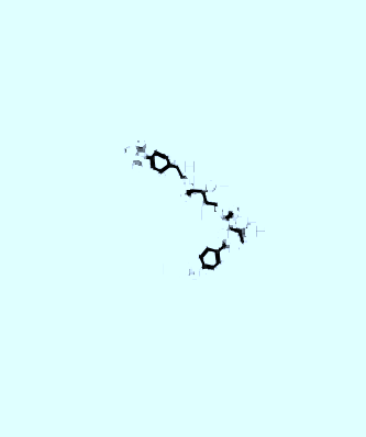 COc1ccc(C2OCC(C)(C)[C@H](C(=O)NCCC(O)C(=O)NCCc3ccc(S(C)(=O)=O)cc3)O2)cc1